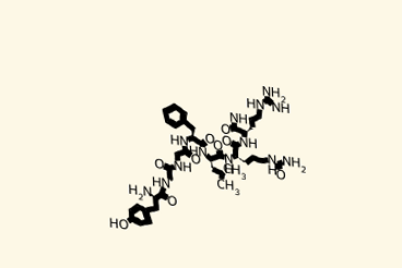 CC(C)C[C@H](NC(=O)[C@H](Cc1ccccc1)NC(=O)CNC(=O)CNC(=O)[C@@H](N)Cc1ccc(O)cc1)C(=O)N[C@@H](CCCNC(N)=O)C(=O)N[C@@H](CCCNC(=N)N)C(N)=O